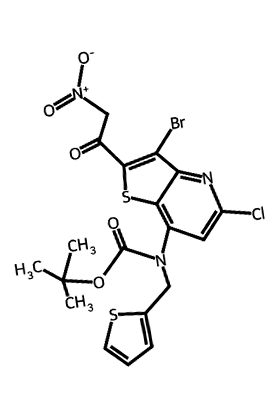 CC(C)(C)OC(=O)N(Cc1cccs1)c1cc(Cl)nc2c(Br)c(C(=O)C[N+](=O)[O-])sc12